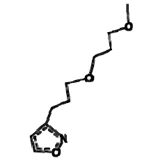 IOCCCOCCCc1ccon1